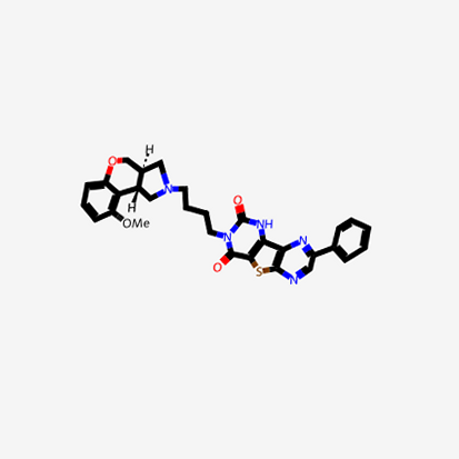 COc1cccc2c1[C@H]1CN(CCCCn3c(=O)[nH]c4c(sc5ncc(-c6ccccc6)nc54)c3=O)C[C@@H]1CO2